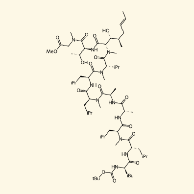 C/C=C/C[C@@H](C)[C@@H](O)[C@@H](C(=O)N[C@H](C(=O)N(C)CC(=O)OC)[C@@H](C)O)N(C)C(=O)[C@H](C(C)C)N(C)C(=O)[C@H](CC(C)C)NC(=O)[C@H](CC(C)C)N(C)C(=O)[C@@H](C)NC(=O)[C@H](C)NC(=O)[C@H](CC(C)C)N(C)C(=O)[C@H](CC(C)C)NC(=O)[C@H](NC(=O)OC(C)(C)C)C(C)CC